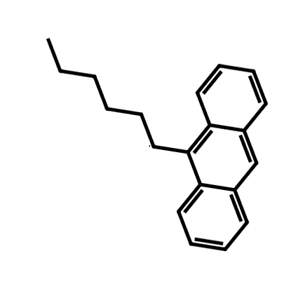 CCCCC[CH]c1c2ccccc2cc2ccccc12